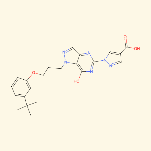 CC(C)(C)c1cccc(OCCCn2ncc3nc(-n4cc(C(=O)O)cn4)nc(O)c32)c1